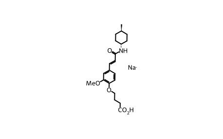 COc1cc(C=CC(=O)N[C@H]2CC[C@H](C)CC2)ccc1OCCCC(=O)O.[Na]